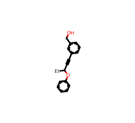 CCC(C#Cc1cccc(CO)c1)Oc1ccccc1